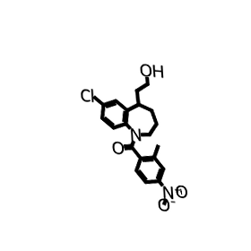 Cc1cc([N+](=O)[O-])ccc1C(=O)N1CCCC(CCO)c2cc(Cl)ccc21